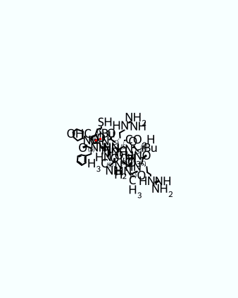 CC[C@H](C)[C@H](NC(=O)[C@H](CCCNC(=N)N)NC(=O)[C@H](C)NC(=O)[C@H](C)NC(=O)[C@H](C)N)C(=O)N[C@@H](CC(=O)O)C(=O)N[C@@H](CCCNC(=N)N)C(=O)N[C@H](C(=O)N[C@@H](Cc1ccccc1)C(=O)N(C1CCCCC1)[C@]([C]=O)(CCCNC(=N)N)C(=O)CCS)[C@@H](C)CC